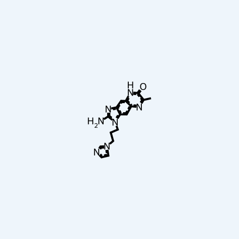 Cc1nc2cc3c(cc2[nH]c1=O)nc(N)n3CCCn1ccnc1